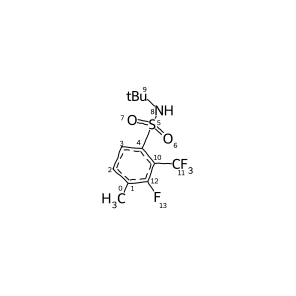 Cc1ccc(S(=O)(=O)NC(C)(C)C)c(C(F)(F)F)c1F